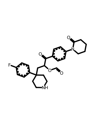 O=COC(CC1(c2ccc(F)cc2)CCNCC1)C(=O)c1ccc(N2CCCCC2=O)cc1